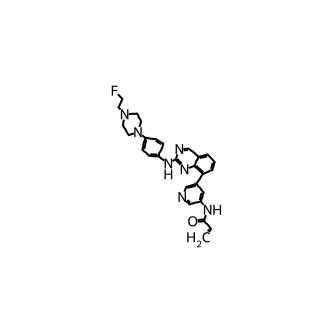 C=CC(=O)Nc1cncc(-c2cccc3cnc(Nc4ccc(N5CCN(CCF)CC5)cc4)nc23)c1